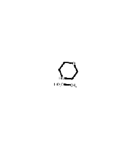 C1COCCN1.CC(=O)O